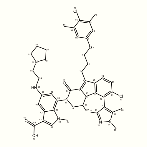 Cc1cc(OCCCc2c3n(c4c(-c5c(C)nn(C)c5C)c(Cl)ccc24)C(C)CN(c2cc(NCCN4CCCC4)cc4c(C(=O)O)cn(C)c24)C3=O)cc(C)c1Cl